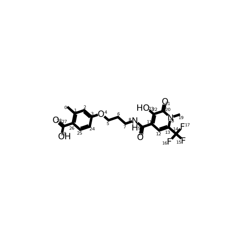 Cc1cc(OCCCNC(=O)c2cc(C(F)(F)F)n(C)c(=O)c2O)ccc1C(=O)O